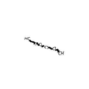 C#CCCOCCOCCOCCOCCC#C